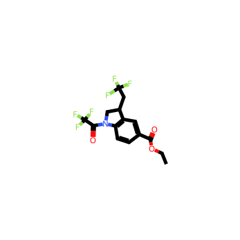 CCOC(=O)c1ccc2c(c1)C(CC(F)(F)F)CN2C(=O)C(F)(F)F